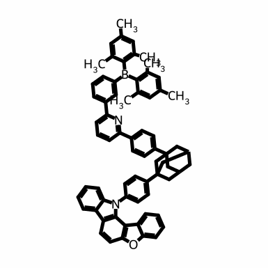 Cc1cc(C)c(B(c2cccc(-c3cccc(-c4ccc(C56CC7CC(C5)CC(c5ccc(-n8c9ccccc9c9ccc%10oc%11ccccc%11c%10c98)cc5)(C7)C6)cc4)n3)c2)c2c(C)cc(C)cc2C)c(C)c1